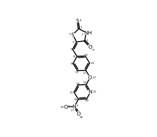 O=C1NC(=S)SC1=Cc1ccc(Oc2ccc([N+](=O)[O-])cn2)cc1